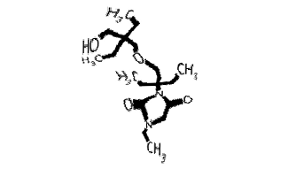 CCN1CC(=O)N(C(CC)(CC)COCC(CC)(CC)CO)C1=O